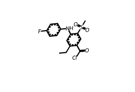 CCc1cc(Nc2ccc(F)cc2)c(S(C)(=O)=O)cc1C(=O)Cl